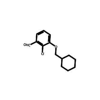 O=Cc1cccc(OCC2CCCCC2)c1Cl